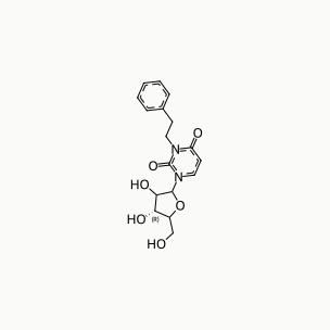 O=c1ccn(C2OC(CO)[C@H](O)C2O)c(=O)n1CCc1ccccc1